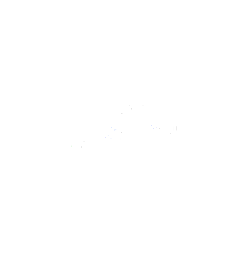 O=C(O)NCc1cc(-c2ccn(-c3ccc(Cl)cc3)n2)ccc1Cl